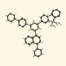 C[Si]1(C)c2ccccc2-c2ccc(-c3nc(-c4ccc(-c5ccccc5)cc4)nc(-c4ccc(-c5ccccc5)c5ccccc45)n3)cc21